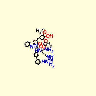 COc1cc(C=C2SC(=Nc3ccccc3)N([C@@H](Cc3ccc(-c4ccccc4)cc3)C(=O)N[C@@H](CCCNC(=N)N)C(N)=O)C2=O)cc(OC)c1O